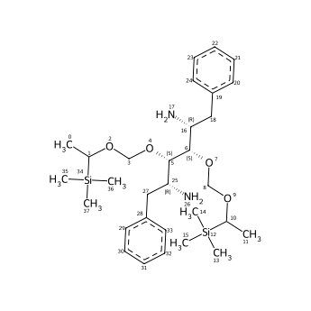 CC(OCO[C@H]([C@@H](OCOC(C)[Si](C)(C)C)[C@H](N)Cc1ccccc1)[C@H](N)Cc1ccccc1)[Si](C)(C)C